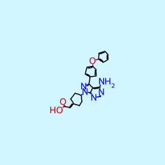 Nc1ncnc2c1c(-c1ccc(Oc3ccccc3)cc1)nn2C1CCC(=CC(=O)O)CC1